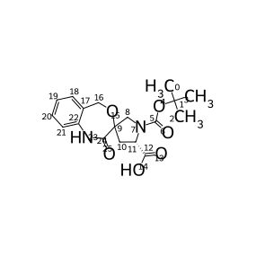 CC(C)(C)OC(=O)N1CC2(C[C@H]1C(=O)O)OCc1ccccc1NC2=O